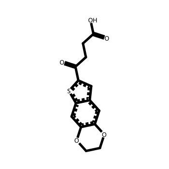 O=C(O)CCC(=O)c1cc2cc3c(cc2s1)OCCO3